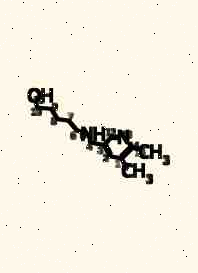 Cc1cc(CNCCCCCO)cnc1C